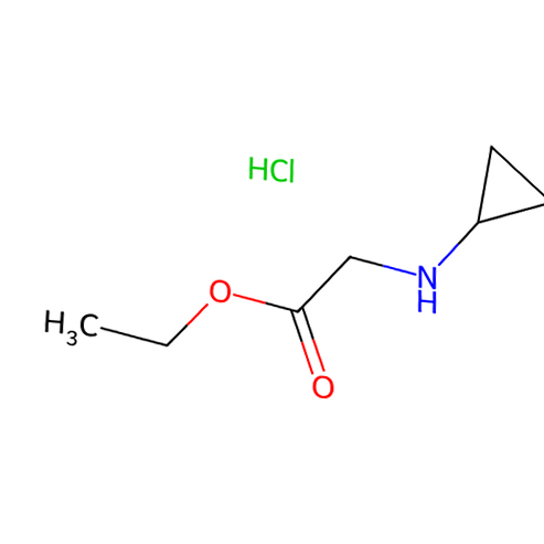 CCOC(=O)CNC1CC1.Cl